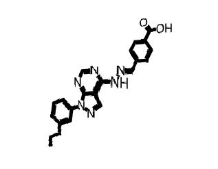 CCCc1cccc(-n2ncc3c(N/N=C/c4ccc(C(=O)O)cc4)ncnc32)c1